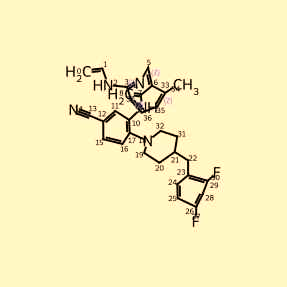 C=CNC1=N\C=C(C(=C)Nc2cc(C#N)ccc2N2CCC(Cc3ccc(F)cc3F)CC2)\C(C)=C/C=C\1